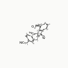 N#CCc1cccc(CN2C(=O)c3cccc([N+](=O)[O-])c3C2O)c1